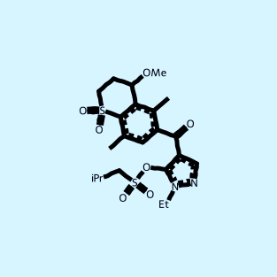 CCn1ncc(C(=O)c2cc(C)c3c(c2C)C(OC)CCS3(=O)=O)c1OS(=O)(=O)CC(C)C